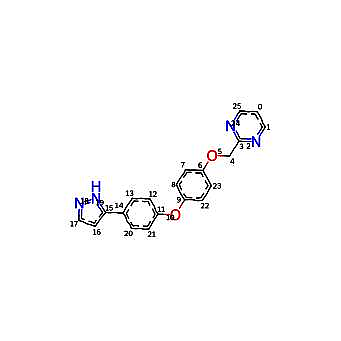 c1cnc(COc2ccc(Oc3ccc(-c4ccn[nH]4)cc3)cc2)nc1